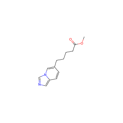 COC(=O)CCCCc1ccc2cncn2c1